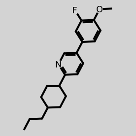 CCCC1CCC(c2ccc(-c3ccc(OC)c(F)c3)cn2)CC1